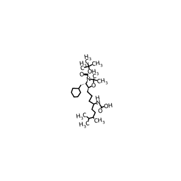 CC(C)C(C)CCC(CCC[C@@H]1OC(C)(C)N(C(=O)OC(C)(C)C)[C@H]1CC1CCCCC1)NC(=O)O